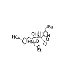 C#Cc1cccc(C[C@H](NC(=O)COCC)[C@H](O)CN[C@H]2CC3(CCC3)Oc3ncc(CC(C)(C)C)cc32)c1